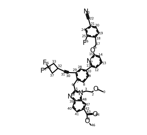 COCCn1c(Cc2ccc(-c3cccc(OCc4ccc(C#N)cc4F)n3)cc2C#CC2CC(F)(F)C2)nc2ccc(C(=O)OC)cc21